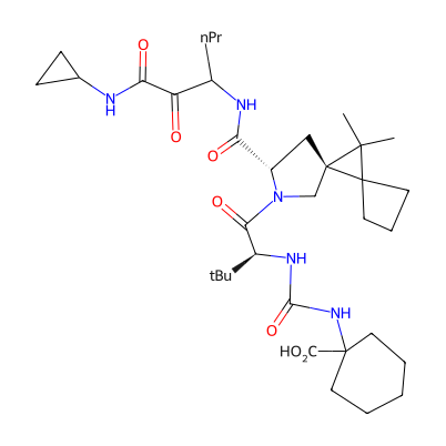 CCCC(NC(=O)[C@@H]1C[C@@]2(CN1C(=O)[C@@H](NC(=O)NC1(C(=O)O)CCCCC1)C(C)(C)C)C(C)(C)C21CCC1)C(=O)C(=O)NC1CC1